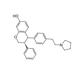 Oc1ccc2c(c1)OC[C@H](c1ccccc1)C2c1ccc(CCN2CCCC2)cc1